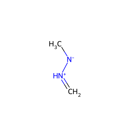 C=[NH+][N-]C